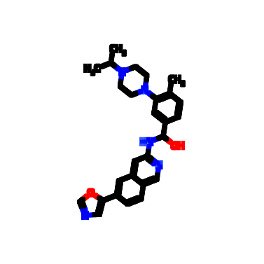 Cc1ccc(C(O)Nc2cc3cc(-c4cnco4)ccc3cn2)cc1N1CCN(C(C)C)CC1